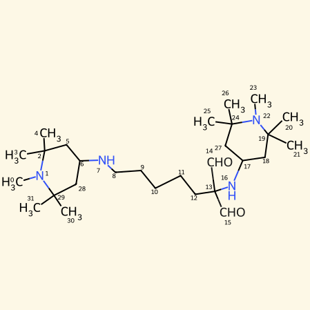 CN1C(C)(C)CC(NCCCCCC(C=O)(C=O)NC2CC(C)(C)N(C)C(C)(C)C2)CC1(C)C